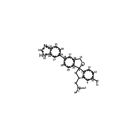 CN(C)CCCC1(c2ccc(F)cc2)OCc2cc(-c3ccc4nc[nH]c4c3)ccc21